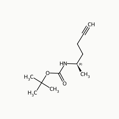 C#CCC[C@@H](C)NC(=O)OC(C)(C)C